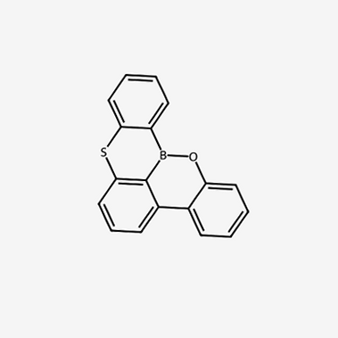 c1ccc2c(c1)OB1c3ccccc3Sc3cccc-2c31